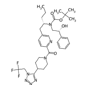 CCC[C@@H](Cc1ccc(C(=O)N2CCC(c3nnnn3CC(F)(F)F)CC2)nc1)N(C[C@H](O)c1ccccc1)C(=O)OC(C)(C)C